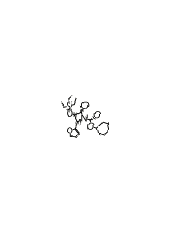 CC[Si](CC)(CC)O[C@H]1C(=O)N(C(=O)OC2CCCCC2)[C@H]1c1ccco1